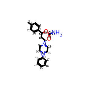 Cc1ccc(C(CCN2CCN(c3ccccc3)CC2)OC(N)=O)cc1